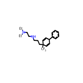 CCN(CC)CCNCCCC1(C(F)(F)F)C=CC(c2ccccc2)C=C1